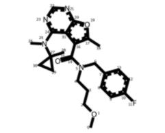 COCCCN(Cc1ccc(F)cc1)C(=O)c1c(C)oc2ncnc(N(C)C3(C)CC3)c12